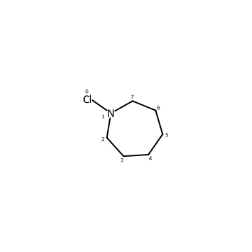 ClN1CCCCCC1